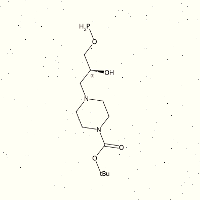 CC(C)(C)OC(=O)N1CCN(C[C@H](O)COP)CC1